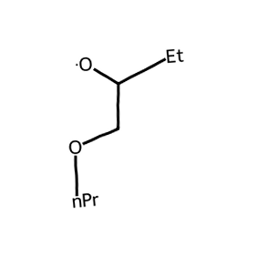 CCCOCC([O])CC